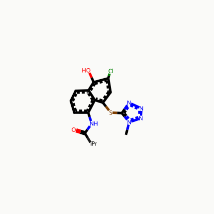 CC(C)C(=O)Nc1cccc2c(O)c(Cl)cc(Sc3nnnn3C)c12